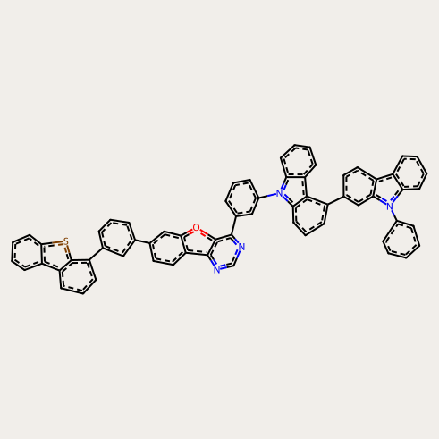 c1ccc(-n2c3ccccc3c3ccc(-c4cccc5c4c4ccccc4n5-c4cccc(-c5ncnc6c5oc5cc(-c7cccc(-c8cccc9c8sc8ccccc89)c7)ccc56)c4)cc32)cc1